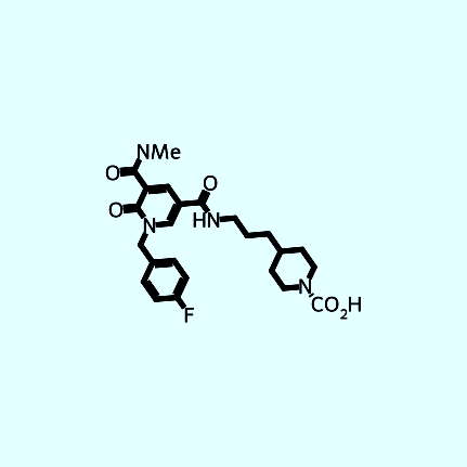 CNC(=O)c1cc(C(=O)NCCCC2CCN(C(=O)O)CC2)cn(Cc2ccc(F)cc2)c1=O